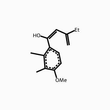 C=C(/C=C(/O)c1ccc(OC)c(C)c1C)CC